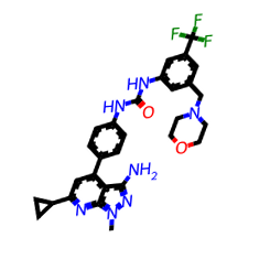 Cn1nc(N)c2c(-c3ccc(NC(=O)Nc4cc(CN5CCOCC5)cc(C(F)(F)F)c4)cc3)cc(C3CC3)nc21